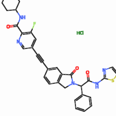 Cl.O=C(NC1CCNCC1)c1ncc(C#Cc2ccc3c(c2)C(=O)N(C(C(=O)Nc2nccs2)c2ccccc2)C3)cc1F